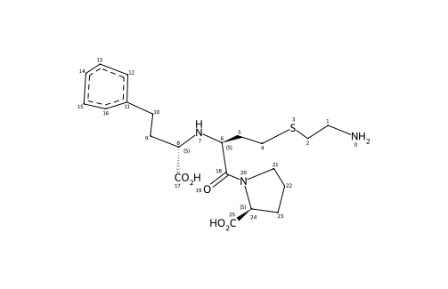 NCCSCC[C@H](N[C@@H](CCc1ccccc1)C(=O)O)C(=O)N1CCC[C@H]1C(=O)O